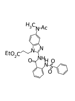 CCOC(=O)CCn1c(NC(=O)c2ccccc2NS(=O)(=O)c2ccccc2)nc2cc(N(C)C(C)=O)ccc21